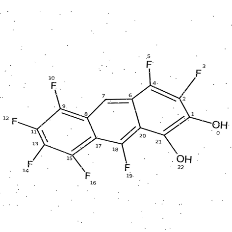 Oc1c(F)c(F)c2cc3c(F)c(F)c(F)c(F)c3c(F)c2c1O